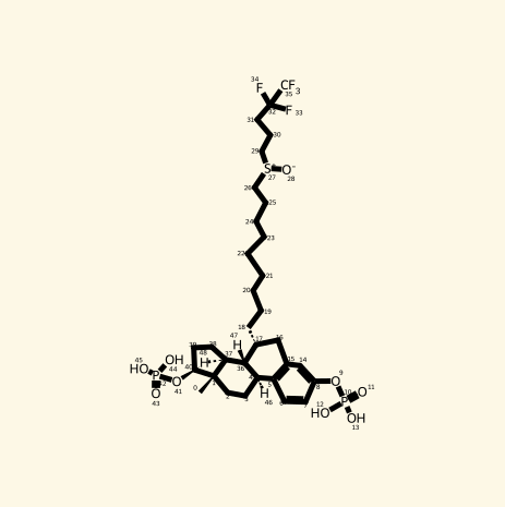 C[C@]12CC[C@@H]3c4ccc(OP(=O)(O)O)cc4C[C@@H](CCCCCCCCC[S+]([O-])CCCC(F)(F)C(F)(F)F)[C@H]3[C@@H]1CC[C@@H]2OP(=O)(O)O